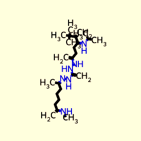 C=C(CCCC/C(C)=N\NC(=C)NNC(=C)CCC(NC(C)C)C(=C)C(C)(C)C)NC